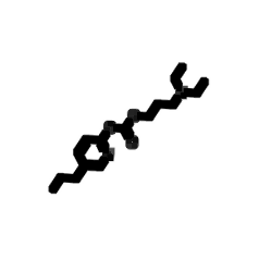 CCCc1ccc(OC(=O)OCCCN(CC)CC)nc1